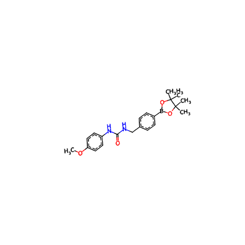 COc1ccc(NC(=O)NCc2ccc(B3OC(C)(C)C(C)(C)O3)cc2)cc1